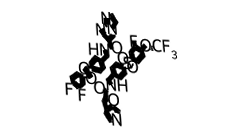 O=C(NCc1ccc(S(=O)(=O)c2ccc(F)c(F)c2)cc1)c1cnc2nccn2c1.O=C(NCc1ccc(S(=O)(=O)c2ccc(OCC(F)(F)F)c(F)c2)cc1)c1cc2ccncc2o1